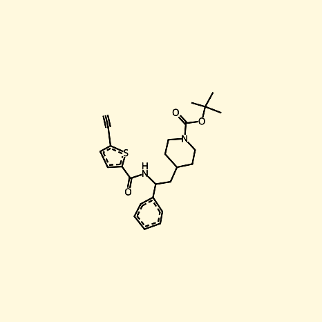 C#Cc1ccc(C(=O)NC(CC2CCN(C(=O)OC(C)(C)C)CC2)c2ccccc2)s1